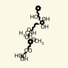 COc1cc(/C=C/C(=O)OCCON(O)O)ccc1OC(=O)C(C)NC(=O)CCC/C=C\C[C@@H]1[C@@H](CC[C@@H](O)CCc2ccccc2)[C@H](O)C[C@@H]1O